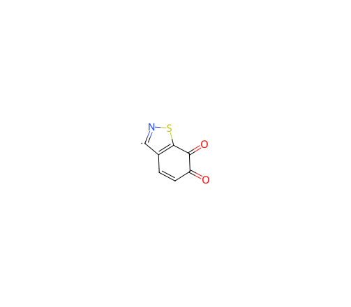 O=C1C=Cc2[c]nsc2C1=O